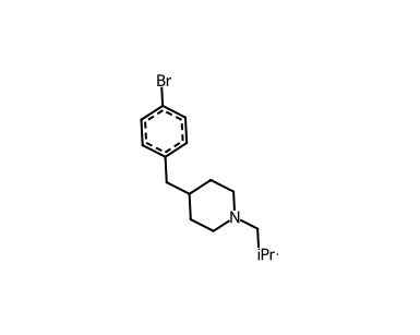 C[C](C)CN1CCC(Cc2ccc(Br)cc2)CC1